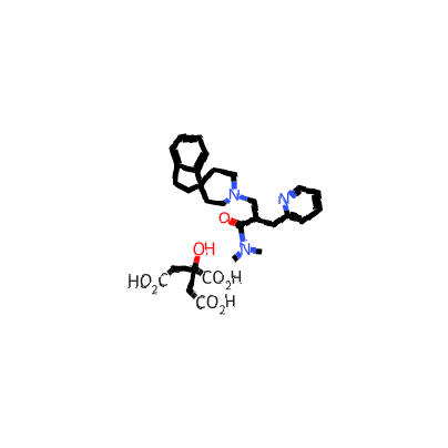 CN(C)C(=O)C(Cc1ccccn1)CN1CCC2(CCc3ccccc32)CC1.O=C(O)CC(O)(CC(=O)O)C(=O)O